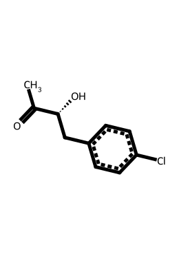 CC(=O)[C@H](O)Cc1ccc(Cl)cc1